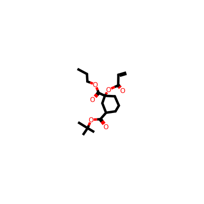 C=CC(=O)OC1(C(=O)OCCC)CCCC(C(=O)OC(C)(C)C)C1